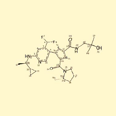 C[C@@H](Nc1cc(C(F)F)c(-c2sc(C(=O)NCC(C)(C)O)nc2C(=O)N2CCC[C@@H]2C)cn1)C1CC1